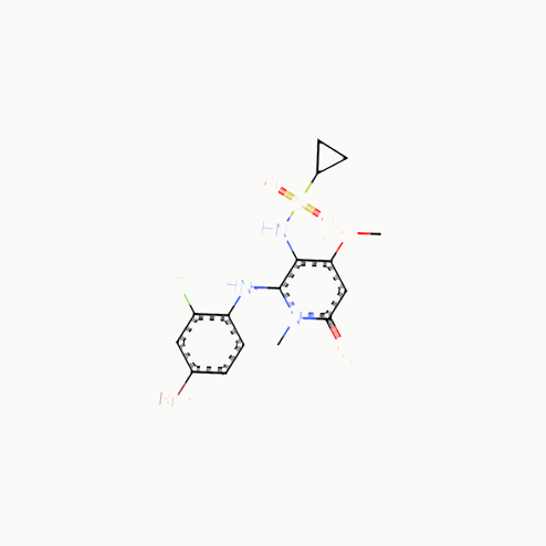 COc1cc(=O)n(C)c(Nc2ccc(Br)cc2F)c1NS(=O)(=O)C1CC1